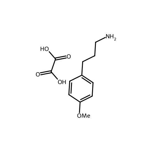 COc1ccc(CCCN)cc1.O=C(O)C(=O)O